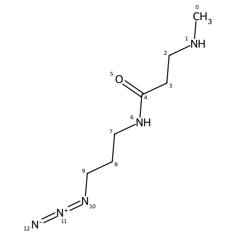 CNCCC(=O)NCCCN=[N+]=[N-]